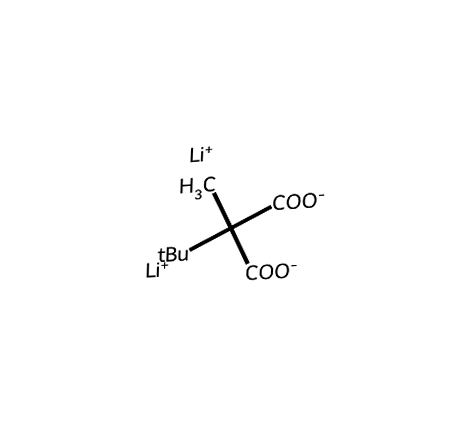 CC(C)(C)C(C)(C(=O)[O-])C(=O)[O-].[Li+].[Li+]